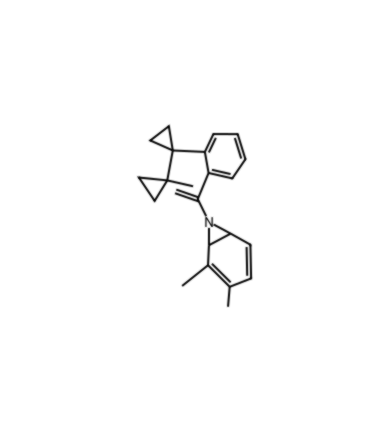 C=C(c1ccccc1C1(C2(C)CC2)CC1)N1C2C=CC(C)=C(C)C21